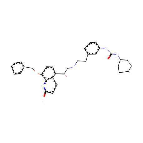 O=C(Nc1cccc(CCNC[C@@H](O)c2ccc(OCc3ccccc3)c3[nH]c(=O)ccc23)c1)NC1CCCCC1